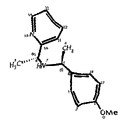 COc1ccc([C@H](C)N[C@H](C)c2ccccn2)cc1